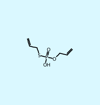 C=CCOP(=O)(O)SCC=C